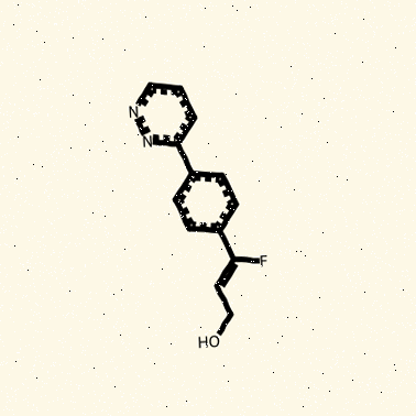 OCC=C(F)c1ccc(-c2cccnn2)cc1